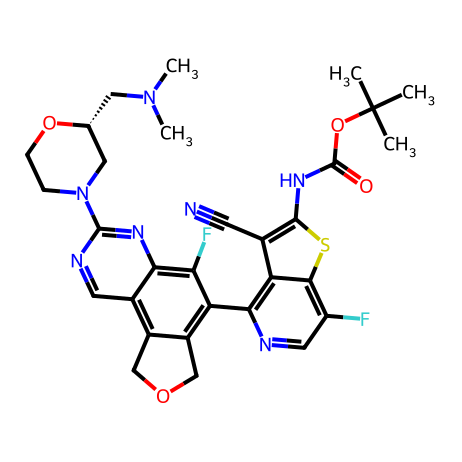 CN(C)C[C@@H]1CN(c2ncc3c4c(c(-c5ncc(F)c6sc(NC(=O)OC(C)(C)C)c(C#N)c56)c(F)c3n2)COC4)CCO1